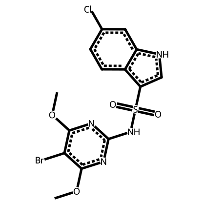 COc1nc(NS(=O)(=O)c2c[nH]c3cc(Cl)ccc23)nc(OC)c1Br